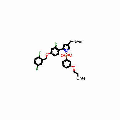 CNCc1cc(-c2ccc(OCc3cc(F)ccc3F)cc2F)n(S(=O)(=O)c2cccc(OCCOC)c2)c1